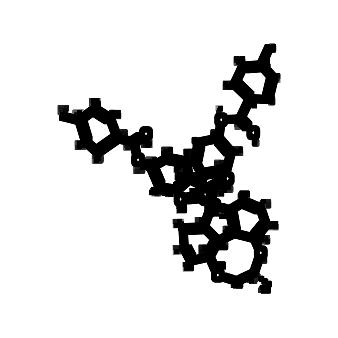 Cc1ccc(C(=O)Oc2ccc(C(=O)Oc3cccc4c3-c3c(OC(=O)c5ccc(OC(=O)c6ccc(C)cc6)cc5)cccc3O[C@H](C)CO4)cc2)cc1